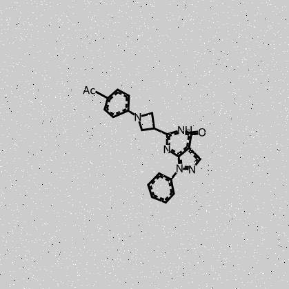 CC(=O)c1ccc(N2CC(c3nc4c(cnn4-c4ccccc4)c(=O)[nH]3)C2)cc1